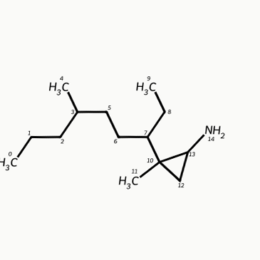 CCCC(C)CCC(CC)C1(C)CC1N